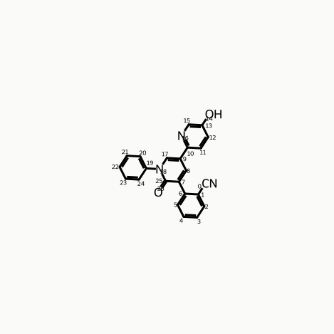 N#Cc1ccccc1-c1cc(-c2ccc(O)cn2)cn(-c2ccccc2)c1=O